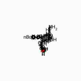 CCCCc1ccc(-c2ccc(C(=O)NCCC(=O)N[C@@H](CCCCN)C(=O)N[C@H](C(=O)N[C@@H](C)C(=O)N[C@@H](C)C(=O)N[C@@H](C)B3OC4C[C@@H]5C[C@@H](C5(C)C)[C@]4(C)O3)[C@@H](C)O)cc2)cc1